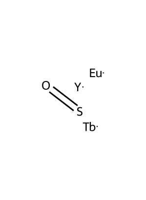 O=S.[Eu].[Tb].[Y]